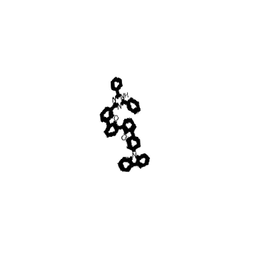 c1ccc(C2=NC(c3cccc4c3oc3c(-c5cccc6c5oc5cc(-n7c8ccccc8c8ccccc87)ccc56)cccc34)=NC(c3ccccc3)N2)cc1